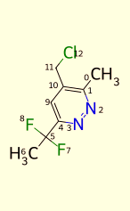 Cc1nnc(C(C)(F)F)cc1CCl